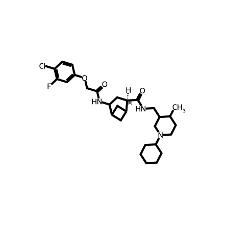 CC1CCN(C2CCCCC2)CC1CNC(=O)[C@@H]1CC(NC(=O)COc2ccc(Cl)c(F)c2)C2CC1C2